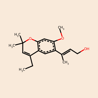 CCC1=CC(C)(C)Oc2cc(OC)c(/C(C)=C/CO)cc21